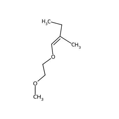 CCC(C)=COCCOC